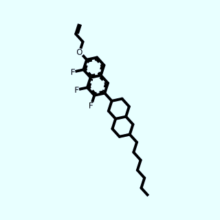 C=CCOc1ccc2cc(C3CCC4CC(CCCCCCC)CCC4C3)c(F)c(F)c2c1F